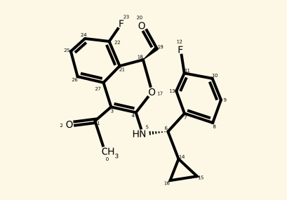 CC(=O)C1=C(N[C@H](c2cccc(F)c2)C2CC2)O[C@H](C=O)c2c(F)cccc21